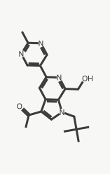 CC(=O)c1cn(CC(C)(C)C)c2c(CO)nc(-c3cnc(C)nc3)cc12